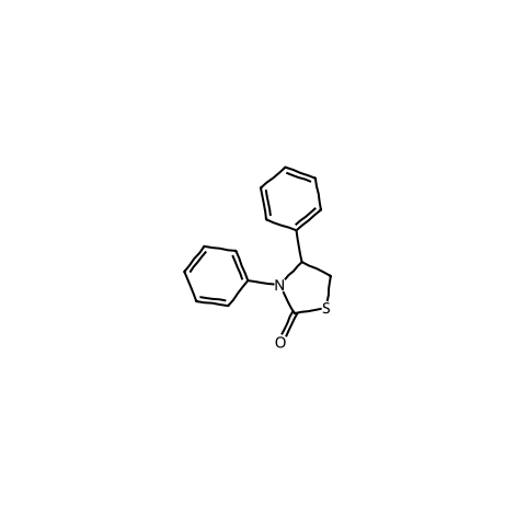 O=C1SCC(c2ccccc2)N1c1ccccc1